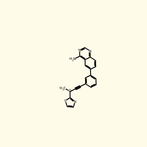 C[C@@H](C#Cc1cccc(-c2ccc3ncnc(N)c3c2)c1)c1nccs1